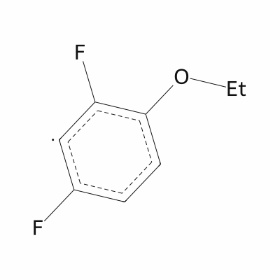 CCOc1ccc(F)[c]c1F